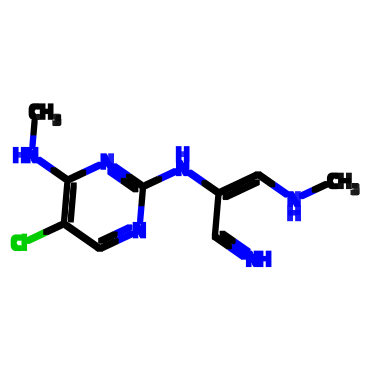 CN/C=C(\C=N)Nc1ncc(Cl)c(NC)n1